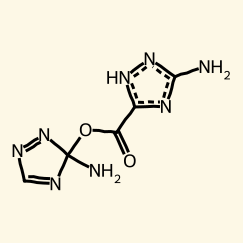 Nc1n[nH]c(C(=O)OC2(N)N=CN=N2)n1